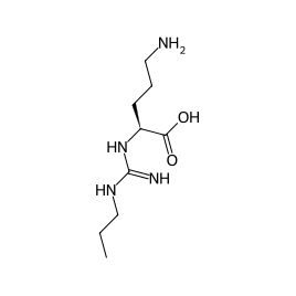 CCCNC(=N)N[C@@H](CCCN)C(=O)O